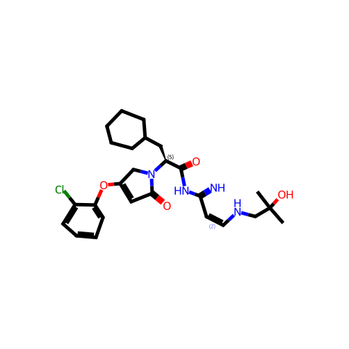 CC(C)(O)CN/C=C\C(=N)NC(=O)[C@H](CC1CCCCC1)N1CC(Oc2ccccc2Cl)=CC1=O